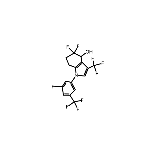 OC1c2c(C(F)(F)F)cn(-c3cc(F)cc(C(F)(F)F)c3)c2CCC1(F)F